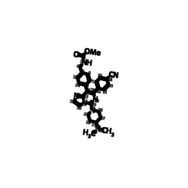 COC(=O)NCc1ccc(-c2c(-c3ccc(C#N)cc3)nc(N3CCC(N(C)C)CC3)n3ccnc23)cc1